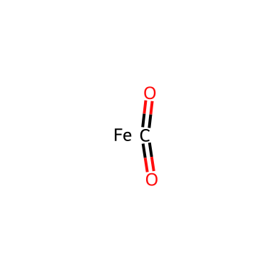 O=C=O.[Fe]